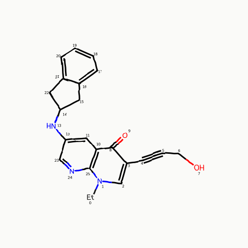 CCn1cc(C#CCO)c(=O)c2cc(NC3Cc4ccccc4C3)cnc21